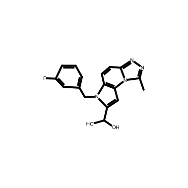 Cc1nnc2ccc3c(cc(C(O)O)n3Cc3cccc(F)c3)n12